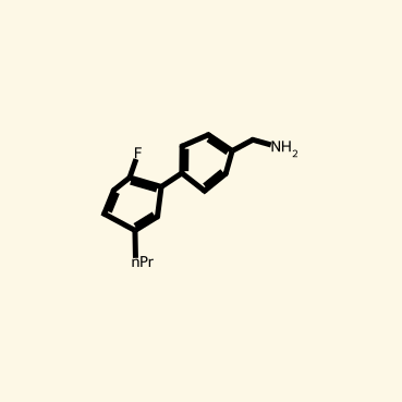 [CH2]CCc1ccc(F)c(-c2ccc(CN)cc2)c1